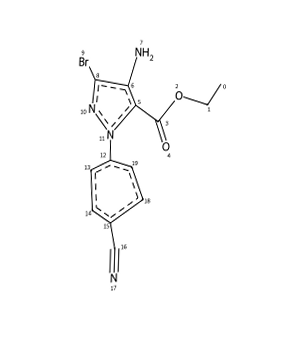 CCOC(=O)c1c(N)c(Br)nn1-c1ccc(C#N)cc1